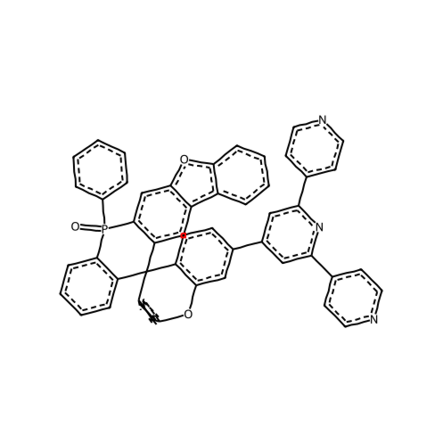 O=P1(c2ccccc2)c2ccccc2C2(c3ccccc3Oc3cc(-c4cc(-c5ccncc5)nc(-c5ccncc5)c4)ccc32)c2cc3c(cc21)oc1ccccc13